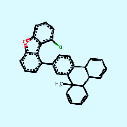 CC12C=CC=CC1C1C=CC=CC1c1ccc(-c3cccc4oc5cccc(Cl)c5c34)cc12